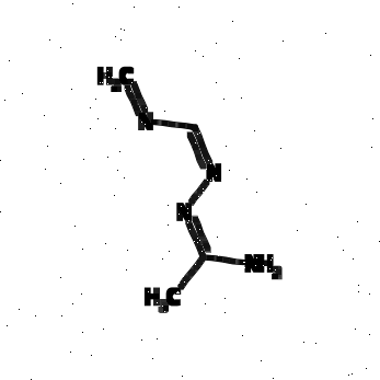 C=N/C=N\N=C(\C)N